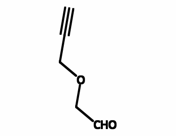 C#CCOCC=O